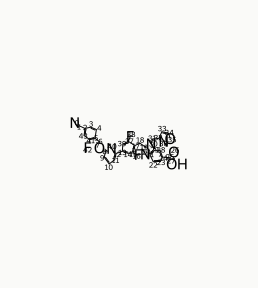 N#Cc1ccc(COc2cccc(-c3cc(F)c(Cc4nc5ccc(C(=O)O)cc5n4Cc4ccon4)c(F)c3)n2)c(F)c1